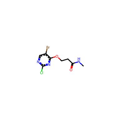 CNC(=O)CCOc1nc(Cl)ncc1Br